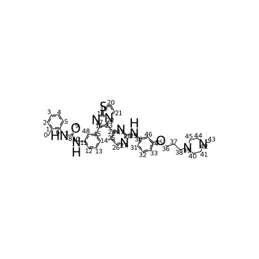 Cc1ccccc1NC(=O)Nc1cccc(-c2nc3sccn3c2-c2ccnc(Nc3cccc(OCCCN4CCN(C)CC4)c3)n2)c1